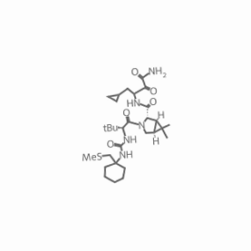 CSCC1(NC(=O)N[C@H](C(=O)N2C[C@H]3[C@@H]([C@H]2C(=O)NC(CC2CC2)C(=O)C(N)=O)C3(C)C)C(C)(C)C)CCCCC1